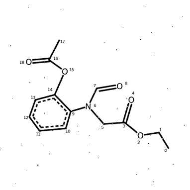 CCOC(=O)CN(C=O)c1ccccc1OC(C)=O